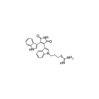 N=C(N)SCCCn1cc(C2=C(c3c[nH]c4ccccc34)C(=O)NC2=O)c2ccccc21